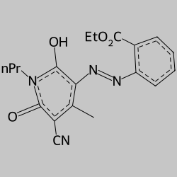 CCCn1c(O)c(N=Nc2ccccc2C(=O)OCC)c(C)c(C#N)c1=O